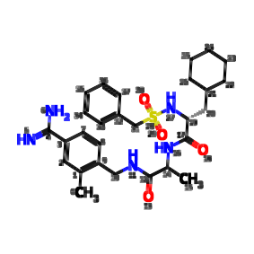 Cc1cc(C(=N)N)ccc1CNC(=O)C(C)NC(=O)[C@@H](CC1CCCCC1)NS(=O)(=O)Cc1ccccc1